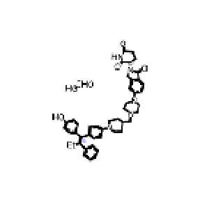 CC/C(=C(\c1ccc(O)cc1)c1ccc(N2CCC(CN3CCN(c4ccc5c(c4)CN([C@H]4CCC(=O)NC4=O)C5=O)CC3)CC2)cc1)c1ccccc1.O=CO